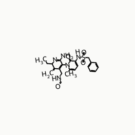 C=C1C(CNC=O)=C(n2c(C)ccc(NS(=O)(=O)Cc3ccccc3)c2=O)C(N)=NC1CC